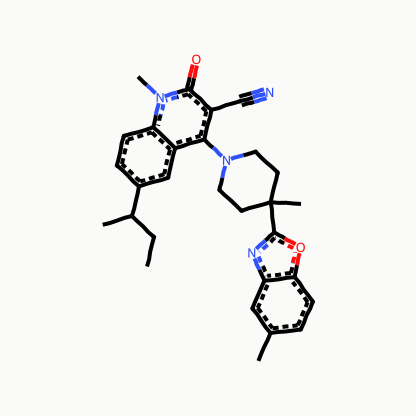 CCC(C)c1ccc2c(c1)c(N1CCC(C)(c3nc4cc(C)ccc4o3)CC1)c(C#N)c(=O)n2C